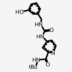 CC(C)(C)NC(=O)c1cc(NC(=O)NCc2cccc(O)c2)ccn1